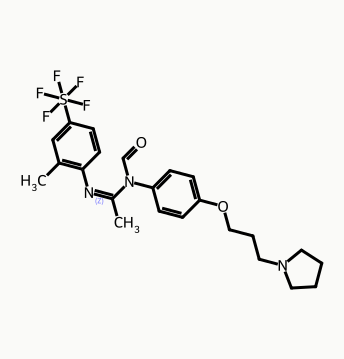 C/C(=N/c1ccc(S(F)(F)(F)(F)F)cc1C)N(C=O)c1ccc(OCCCN2CCCC2)cc1